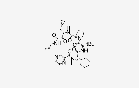 C=CCNC(=O)C(=O)C(CC1CC1)NC(=O)[C@@H]1CCCN1C(=O)[C@@H](NC(=O)[C@@H](NC(=O)c1cnccn1)C1CCCCC1)C(C)(C)C